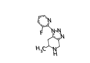 CC1Cc2c(nnn2-c2ncccc2F)CN1